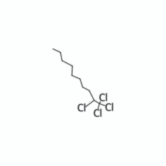 CCCCCCCCC(Cl)C(Cl)(Cl)Cl